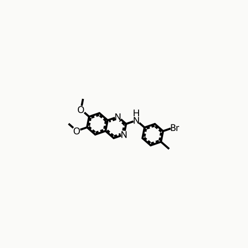 COc1cc2cnc(Nc3ccc(C)c(Br)c3)nc2cc1OC